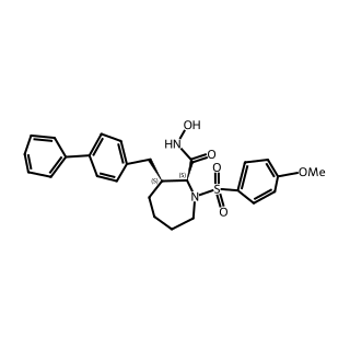 COc1ccc(S(=O)(=O)N2CCCC[C@@H](Cc3ccc(-c4ccccc4)cc3)[C@H]2C(=O)NO)cc1